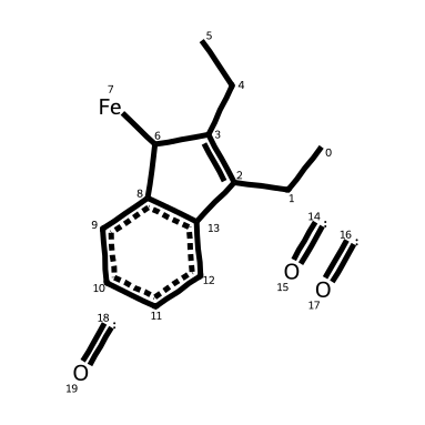 CCC1=C(CC)[CH]([Fe])c2ccccc21.[C]=O.[C]=O.[C]=O